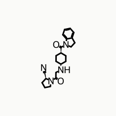 N#C[C@@H]1CCCN1C(=O)CN[C@H]1CC[C@H](C(=O)N2CCc3ccccc32)CC1